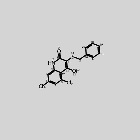 O=c1[nH]c2cc(Cl)cc(Cl)c2c(O)c1SCc1ccccc1